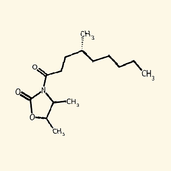 CCCCC[C@@H](C)CCC(=O)N1C(=O)OC(C)C1C